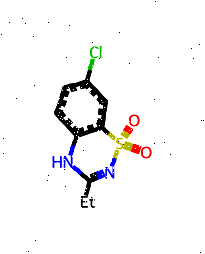 CCC1=NS(=O)(=O)c2cc(Cl)ccc2N1